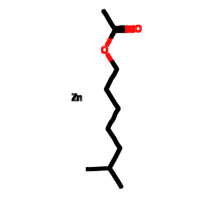 CC(=O)OCCCCCC(C)C.[Zn]